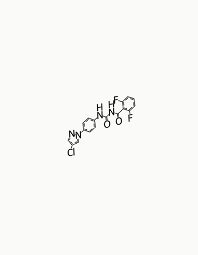 O=C(NC(=O)c1c(F)cccc1F)Nc1ccc(-n2cc(Cl)cn2)cc1